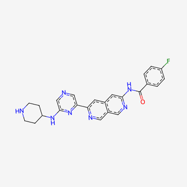 O=C(Nc1cc2cc(-c3cncc(NC4CCNCC4)n3)ncc2cn1)c1ccc(F)cc1